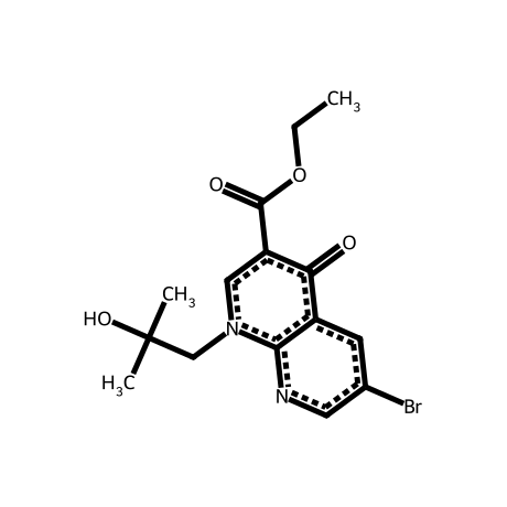 CCOC(=O)c1cn(CC(C)(C)O)c2ncc(Br)cc2c1=O